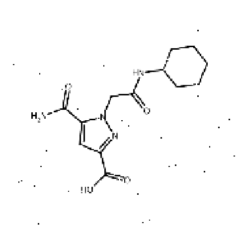 NC(=O)c1cc(C(=O)O)nn1CC(=O)NC1CCCCC1